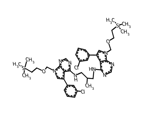 CC(CNc1ncnc2c1c(-c1cccc(Cl)c1)cn2COCC[Si](C)(C)C)CNc1ncnc2c1c(-c1cccc(Cl)c1)cn2COCC[Si](C)(C)C